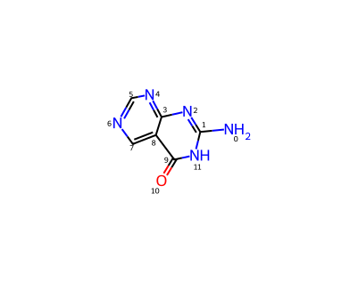 Nc1nc2ncncc2c(=O)[nH]1